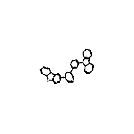 C1=CC(c2ccc3c(c2)C2C=CC=CC2S3)CC(C2=CC(N3C4=C(C=CCC4)C4C=CC=CC43)=CCC2)=C1